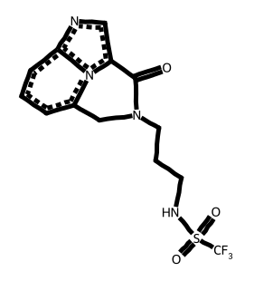 O=C1c2cnc3cccc(n23)CN1CCCNS(=O)(=O)C(F)(F)F